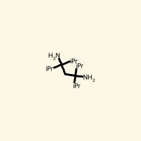 CC(C)C(N)(CC(N)(C(C)C)C(C)C)C(C)C